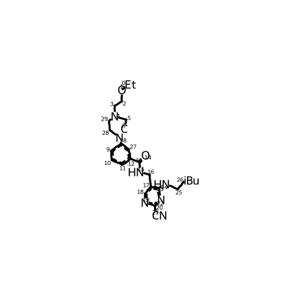 CCOCCN1CCN(c2cccc(C(=O)NCc3cnc(C#N)nc3NCC(C)CC)c2)CC1